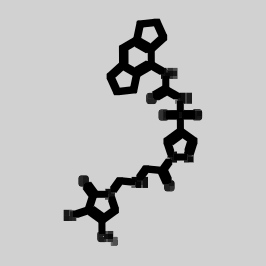 CCC1=C(C)CN(CNCC(=O)n2cc(S(=O)(=O)NC(=O)Nc3c4c(cc5c3CCC5)CCC4)cn2)C1=O